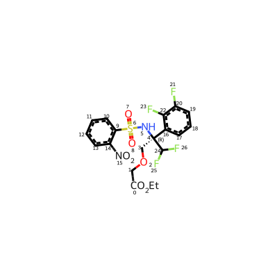 CCOC(=O)COC[C@](NS(=O)(=O)c1ccccc1[N+](=O)[O-])(c1cccc(F)c1F)C(F)F